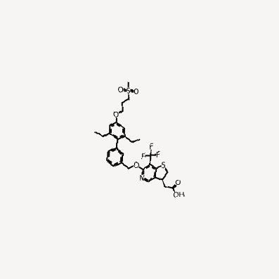 CCc1cc(OCCCS(C)(=O)=O)cc(CC)c1-c1cccc(COc2ncc3c(c2C(F)(F)F)SC[C@H]3CC(=O)O)c1